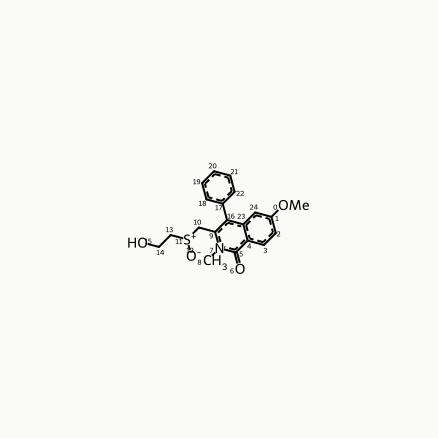 COc1ccc2c(=O)n(C)c(C[S+]([O-])CCO)c(-c3ccccc3)c2c1